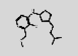 COCc1nccc(NC2CCC(CCC(C)C)C2)c1Cl